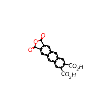 O=C(O)c1cc2cc3cc4c(cc3cc2cc1C(=O)O)C(=O)OC4=O